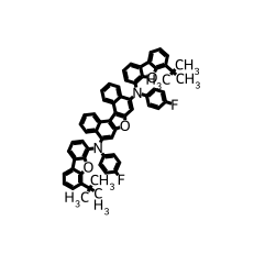 CC(C)(C)c1cccc2c1oc1c(N(c3ccc(F)cc3)c3cc4oc5cc(N(c6ccc(F)cc6)c6cccc7c6oc6c(C(C)(C)C)cccc67)c6ccccc6c5c4c4ccccc34)cccc12